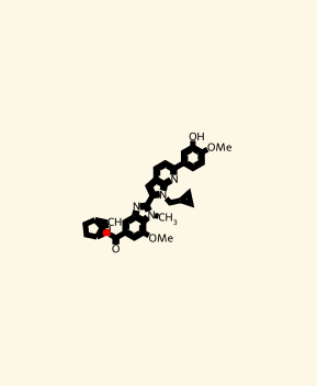 COc1ccc(-c2ccc3cc(-c4nc5cc(C(=O)N6CC7CCC6[C@@H]7C)cc(OC)c5n4C)n(CC4CC4)c3n2)cc1O